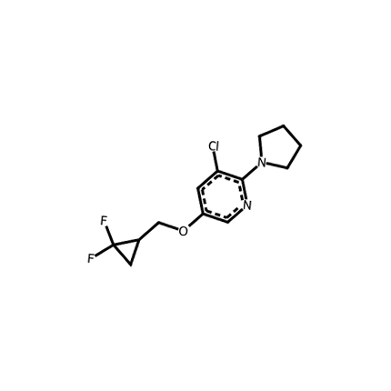 FC1(F)CC1COc1cnc(N2CCCC2)c(Cl)c1